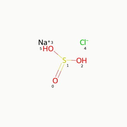 O=S(O)O.[Cl-].[Na+]